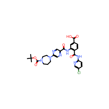 CC(C)(C)OC(=O)N1CCCN(c2cnc(C(=O)Nc3cc(C(=O)O)ccc3C(=O)Nc3ccc(Cl)cn3)cn2)CC1